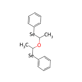 CC(OC(C)[Se]c1ccccc1)[Se]c1ccccc1